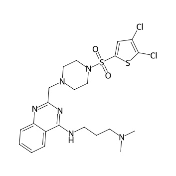 CN(C)CCCNc1nc(CN2CCN(S(=O)(=O)c3cc(Cl)c(Cl)s3)CC2)nc2ccccc12